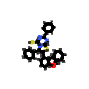 S=c1nc(-c2ccccc2)nc2sc(-c3cccc4oc5ccccc5c34)c(-c3ccccc3)n12